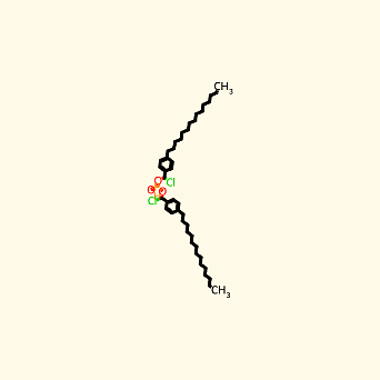 CCCCCCCCCCCCCCCc1ccc(C(Cl)O[PH](=O)OC(Cl)c2ccc(CCCCCCCCCCCCCCC)cc2)cc1